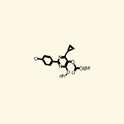 CCCOc1nc(-c2ccc(Cl)cc2)nc(C2CC2)c1OC(=O)OC